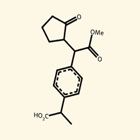 COC(=O)C(c1ccc(C(C)C(=O)O)cc1)C1CCCC1=O